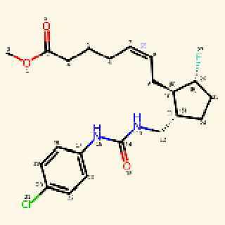 COC(=O)CCC/C=C\C[C@@H]1[C@@H](CNC(=O)Nc2ccc(Cl)cc2)CC[C@H]1F